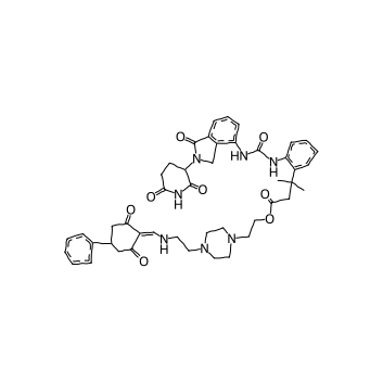 CC(C)(CC(=O)OCCN1CCN(CCNC=C2C(=O)CC(c3ccccc3)CC2=O)CC1)c1ccccc1NC(=O)Nc1cccc2c1CN(C1CCC(=O)NC1=O)C2=O